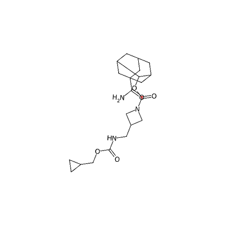 NC(=O)C12CC3CC(C1)C(OC(=O)N1CC(CNC(=O)OCC4CC4)C1)C(C3)C2